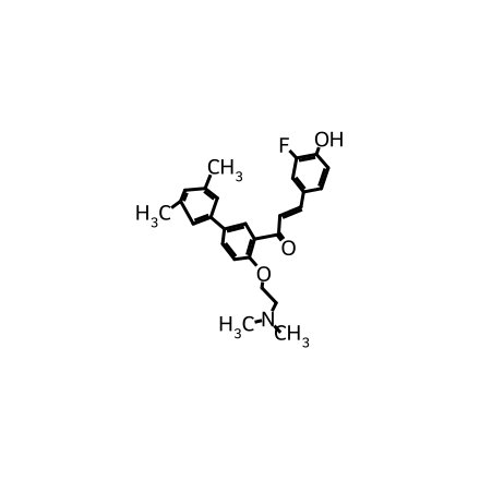 Cc1cc(C)cc(-c2ccc(OCCN(C)C)c(C(=O)/C=C/c3ccc(O)c(F)c3)c2)c1